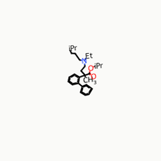 CCN(CCCC(C)C)CCC(C)(C(=O)OC(C)C)c1ccccc1-c1ccccc1